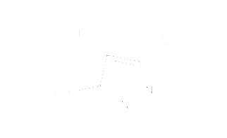 CC1=N[N]C(Br)=C1C(F)(F)F